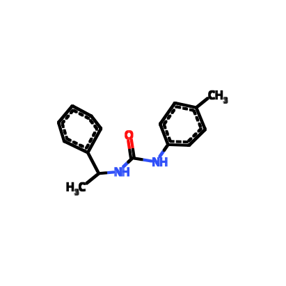 Cc1ccc(NC(=O)NC(C)c2ccccc2)cc1